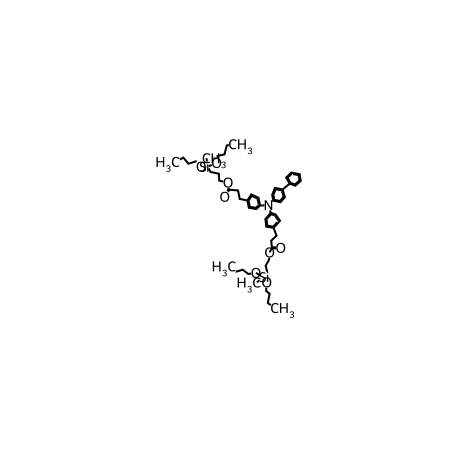 CCCCO[Si](C)(CCCOC(=O)CCc1ccc(N(c2ccc(CCC(=O)OCCC[Si](C)(OCCCC)OCCCC)cc2)c2ccc(-c3ccccc3)cc2)cc1)OCCCC